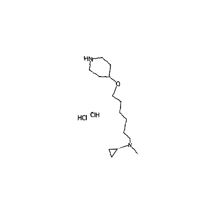 CN(CCCCCCOC1CCNCC1)C1CC1.Cl.Cl